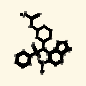 CC(=O)OC1CCCC(N(c2c([N+](=O)[O-])cnc3[nH]ccc23)S(=O)(=O)c2ccccc2)C1